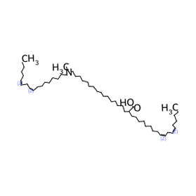 CCCCC/C=C\C/C=C\CCCCCCCCC(CCCCCCCCCCCCCCCCN(C)CCCCCCCC/C=C\C/C=C\CCCCC)C(=O)O